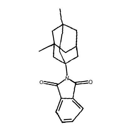 CC12CC3CC(C)(C1)CC(N1C(=O)c4ccccc4C1=O)(C3)C2